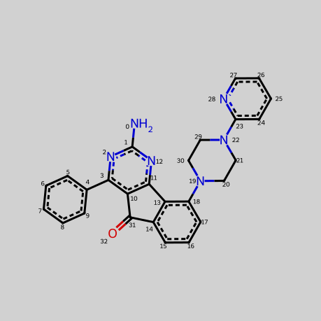 Nc1nc(-c2ccccc2)c2c(n1)-c1c(cccc1N1CCN(c3ccccn3)CC1)C2=O